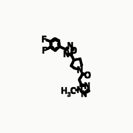 Cn1ncnc1CC(=O)N1CCC(c2nc(-c3ccc(F)c(F)c3)no2)CC1